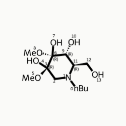 CCCCN1C[C@@](O)(OC)[C@](O)(OC)[C@H](O)[C@H]1CO